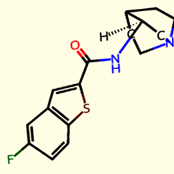 O=C(N[C@@H]1CN2CCC1CC2)c1cc2cc(F)ccc2s1